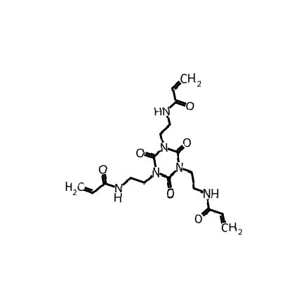 C=CC(=O)NCCn1c(=O)n(CCNC(=O)C=C)c(=O)n(CCNC(=O)C=C)c1=O